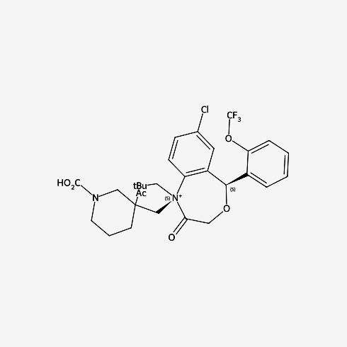 CC(=O)C1(C[N@+]2(CC(C)(C)C)C(=O)CO[C@H](c3ccccc3OC(F)(F)F)c3cc(Cl)ccc32)CCCN(C(=O)O)C1